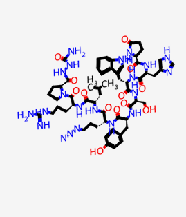 CC(C)C[C@H](NC(=O)[C@@H](CCCN=[N+]=[N-])NC(=O)[C@H](Cc1ccc(O)cc1)NC(=O)[C@H](CO)NC(=O)[C@H](Cc1c[nH]c2ccccc12)NC(=O)[C@H](Cc1c[nH]cn1)NC(=O)[C@@H]1CCC(=O)N1)C(=O)N[C@@H](CCCNC(=N)N)C(=O)N1CCC[C@H]1C(=O)NNC(N)=O